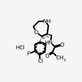 CC(=O)C(=O)NC[C@@H]1CNCCO[C@H]1c1ccc(Cl)c(F)c1.Cl